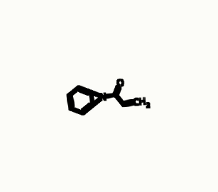 C=CC(=O)N1c2ccccc21